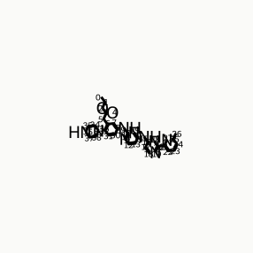 CCOC(=O)Cc1cc(Nc2nccc(Nc3ccnc(-c4cccc(C)n4)n3)n2)ccc1N1CCNCC1